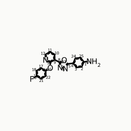 Nc1ccc(-c2nnc(-c3cccnc3Oc3ccc(F)cc3)o2)cc1